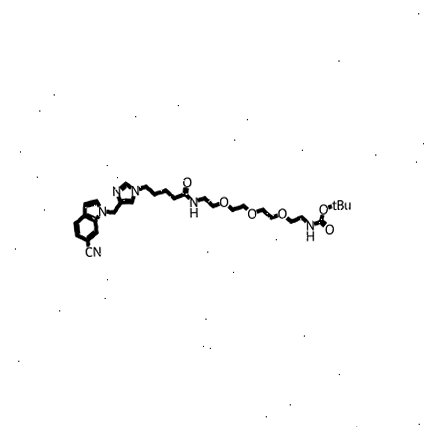 CC(C)(C)OC(=O)NCCOCCOCCOCCNC(=O)CCCCn1cnc(Cn2ccc3ccc(C#N)cc32)c1